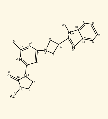 CC(=O)N1CCN(c2cc(N3CC(c4nc5ccccc5n4C)C3)nc(C)n2)C1=O